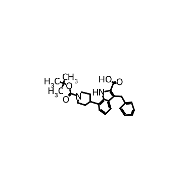 CC(C)(C)OC(=O)N1CCC(c2cccc3c(Cc4ccccc4)c(C(=O)O)[nH]c23)CC1